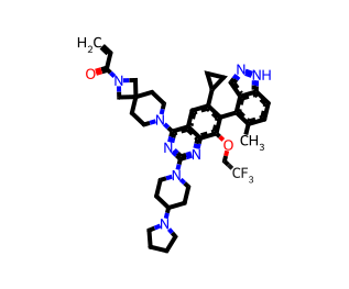 C=CC(=O)N1CC2(CCN(c3nc(N4CCC(N5CCCC5)CC4)nc4c(OCC(F)(F)F)c(-c5c(C)ccc6[nH]ncc56)c(C5CC5)cc34)CC2)C1